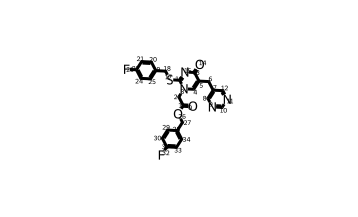 O=C(Cn1cc(Cc2cncnc2)c(=O)nc1SCc1ccc(F)cc1)OCc1ccc(F)cc1